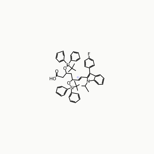 CC(C)n1c(/C=C/C(CC(CC(=O)O)O[Si](c2ccccc2)(c2ccccc2)C(C)(C)C)O[Si](c2ccccc2)(c2ccccc2)C(C)(C)C)c(-c2ccc(F)cc2)c2ccccc21